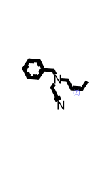 C/C=C\CN(CC#N)Cc1ccccc1